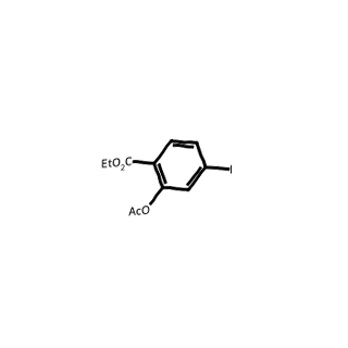 CCOC(=O)c1ccc(I)cc1OC(C)=O